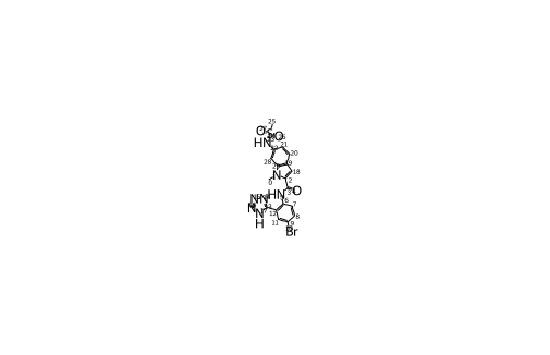 Cn1c(C(=O)Nc2ccc(Br)cc2-c2nnn[nH]2)cc2ccc(NS(C)(=O)=O)cc21